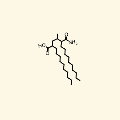 CCCCCCCCCCC(CC(C)C(CCCCCCCCCC)C(N)=O)C(=O)O